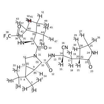 [2H]C([2H])([2H])C1(C([2H])([2H])[2H])[C@@H]2[C@@H](C(=O)N[C@]([2H])(C#N)C([2H])([2H])[C@@]3([2H])C(=O)NC([2H])([2H])C3([2H])[2H])N(C(=O)[C@@H](NC(=O)C(F)(F)F)C(C([2H])([2H])[2H])(C([2H])([2H])[2H])C([2H])([2H])[2H])C[C@@H]21